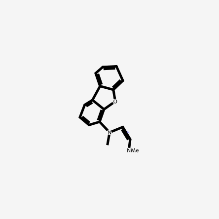 CN/C=C\N(C)c1cccc2c1oc1ccccc12